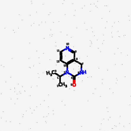 CC(C)N1C(=O)NCc2cnccc21